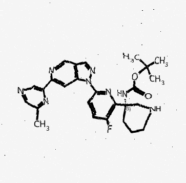 Cc1cncc(-c2cc3c(cn2)cnn3-c2ccc(F)c([C@]3(NC(=O)OC(C)(C)C)CCCNC3)n2)n1